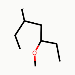 [CH2]C(CC)CC(CC)OC